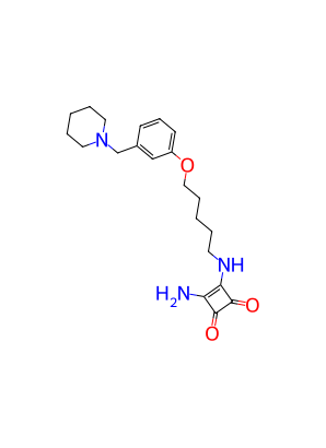 Nc1c(NCCCCCOc2cccc(CN3CCCCC3)c2)c(=O)c1=O